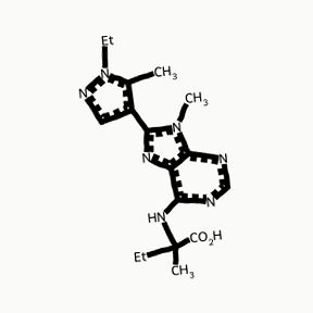 CCn1ncc(-c2nc3c(NC(C)(CC)C(=O)O)ncnc3n2C)c1C